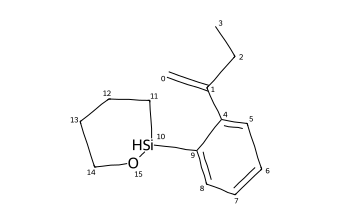 C=C(CC)c1ccccc1[SiH]1CCCCO1